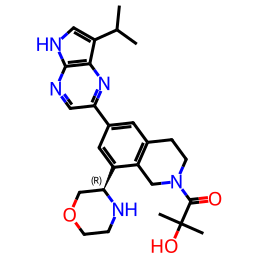 CC(C)c1c[nH]c2ncc(-c3cc4c(c([C@@H]5COCCN5)c3)CN(C(=O)C(C)(C)O)CC4)nc12